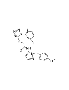 COc1ccc(Cn2nccc2NC(=O)CSc2nnnn2-c2cc(F)ccc2C)cc1